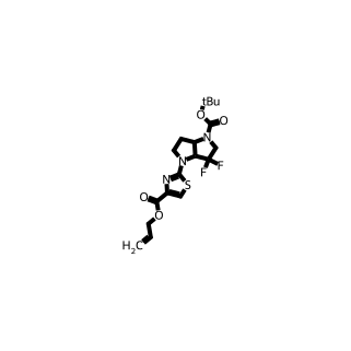 C=CCOC(=O)c1csc(N2CCC3C2C(F)(F)CN3C(=O)OC(C)(C)C)n1